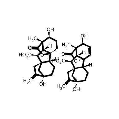 C=C1C[C@]23C[C@@]1(O)CC[C@H]2[C@@]12C=C[C@H](O)[C@@](C)(C(=O)O1)[C@H]2[C@@H]3C(=O)O.C=C1C[C@]23C[C@@]1(O)CC[C@H]2[C@@]12CC[C@H](O)[C@@](C)(C(=O)O1)[C@H]2[C@@H]3C(=O)O